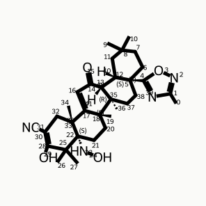 Cc1noc([C@]23CCC(C)(C)C[C@H]2[C@H]2C(=O)C=C4[C@@](C)(CC[C@@]5(NO)C(C)(C)C(O)=C(C#N)C[C@]45C)[C@]2(C)CC3)n1